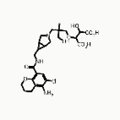 CC(CO)(COC(C(=O)O)C(O)C(=O)O)CN1CC2C(CNC(=O)c3cc(Cl)c(N)c4c3OCCC4)C2C1